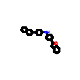 c1ccc2cc(-c3ccc(Nc4ccc(-c5cc6ccccc6o5)cc4)cc3)ccc2c1